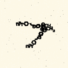 CCC[C@H]1CC[C@H](C=CCOc2ccc(C(=O)O[C@H](C)[C@@H](C)OC(=O)c3ccc(OCC=C[C@H]4CC[C@H](CCC)CC4)cc3)cc2)CC1